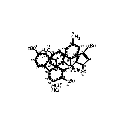 Cl.Cl.[CH2]=[Zr]([C]1=CC(C(C)(C)C)=CC1CC)([c]1ccc(C)cc1)([c]1ccc(C)cc1)[c]1c(C(C)(C)C)ccc2c1Cc1cc(C(C)(C)C)ccc1-2